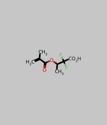 C=C(C)C(=O)OC(C)C(F)(F)C(=O)O